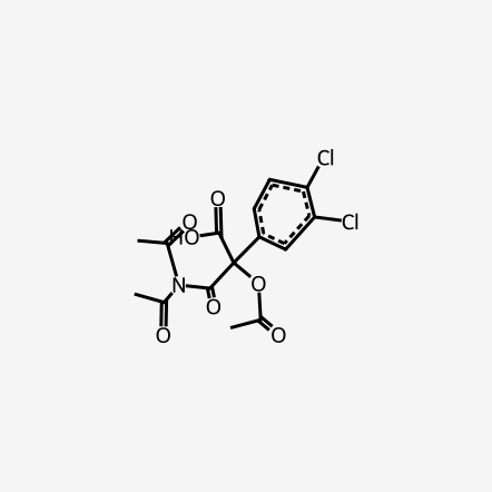 CC(=O)OC(C(=O)O)(C(=O)N(C(C)=O)C(C)=O)c1ccc(Cl)c(Cl)c1